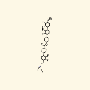 C/C=C/CCc1ccc(C2=CCC(C(=O)OC3CCC(c4ccc(-c5ccc(OCC)c(F)c5F)c(F)c4F)CC3)CC2)c(F)c1F